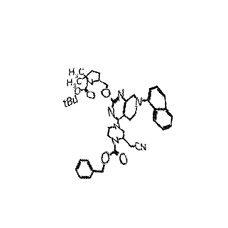 CC(C)(C)OC(=O)N1[C@H](COc2nc3c(c(N4CCN(C(=O)OCc5ccccc5)C(CC#N)C4)n2)CCN(c2cccc4ccccc24)C3)CCC1(C)C